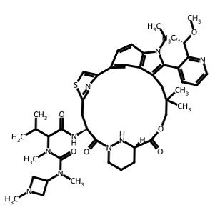 CCn1c(-c2cccnc2[C@H](C)OC)c2c3cc(ccc31)-c1csc(n1)C[C@H](NC(=O)C(C(C)C)N(C)C(=O)N(C)C1CN(C)C1)C(=O)N1CCC[C@H](N1)C(=O)OCC(C)(C)C2